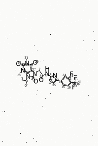 CC(C)n1c(=O)n(CC(=O)Nc2nc(-c3ccc(C(F)(F)F)c(F)c3)cs2)c2c(=O)n(C)c(=O)n(C)c21